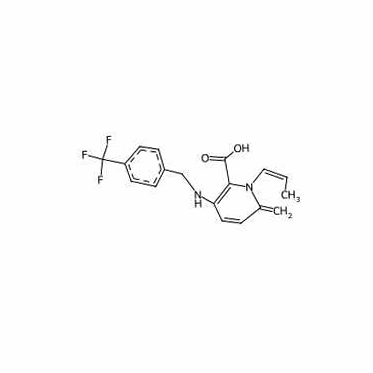 C=C1C=CC(NCc2ccc(C(F)(F)F)cc2)=C(C(=O)O)N1/C=C\C